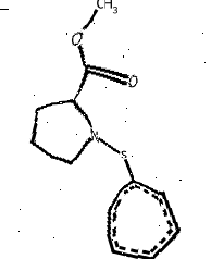 COC(=O)[C@@H]1CCCN1Sc1ccccc1